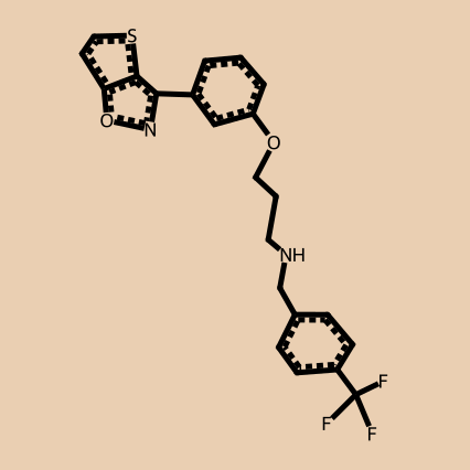 FC(F)(F)c1ccc(CNCCCOc2cccc(-c3noc4ccsc34)c2)cc1